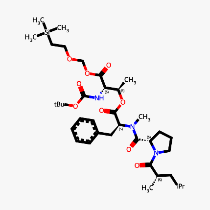 CC(C)C[C@H](C)C(=O)N1CCC[C@H]1C(=O)N(C)[C@@H](Cc1ccccc1)C(=O)O[C@H](C)[C@H](NC(=O)OC(C)(C)C)C(=O)OCOCC[Si](C)(C)C